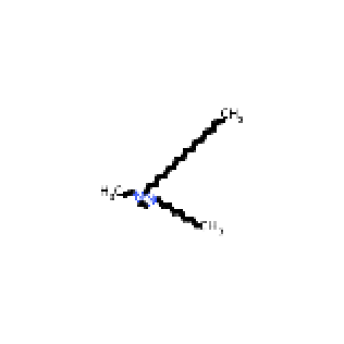 CCCCCCCCCCCCCCCCCC1N(CCC)C=CN1CCCCCCCCC